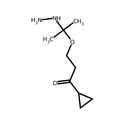 CC(C)(NN)OCCC(=O)C1CC1